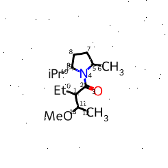 CCC(C(=O)N1C(C)CC[C@H]1C(C)C)C(C)OC